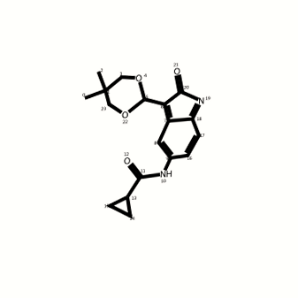 CC1(C)COC(C2=c3cc(NC(=O)C4CC4)ccc3=NC2=O)OC1